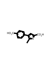 Cc1sc(C(=O)O)cc1-c1ccc(C(=O)O)cc1